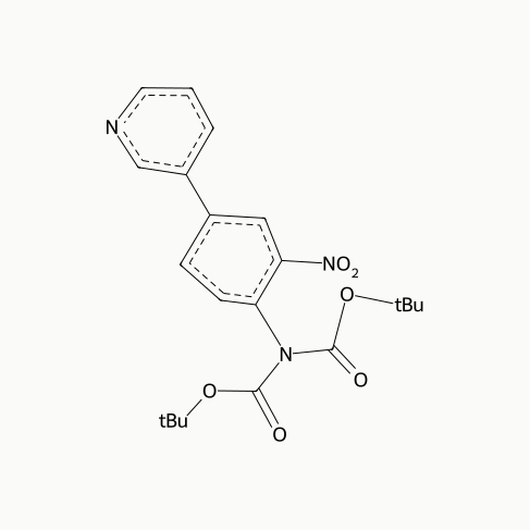 CC(C)(C)OC(=O)N(C(=O)OC(C)(C)C)c1ccc(-c2cccnc2)cc1[N+](=O)[O-]